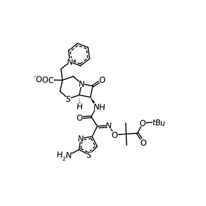 CC(C)(C)OC(=O)C(C)(C)ON=C(C(=O)N[C@@H]1C(=O)N2CC(C[n+]3ccccc3)(C(=O)[O-])CS[C@H]12)c1csc(N)n1